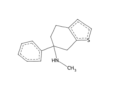 CNC1(c2ccccc2)CCc2ccsc2C1